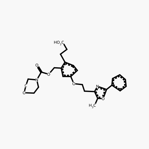 Cc1oc(-c2ccccc2)nc1CCOc1ccc(CCC(=O)O)c(COC(=O)N2CCOCC2)c1